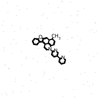 CC1C=CC2=C3C(=c4c(oc5ccccc45)=CC31)C=CN2c1ccc(-c2ccccn2)cn1